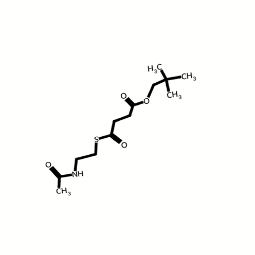 CC(=O)NCCSC(=O)CCC(=O)OCC(C)(C)C